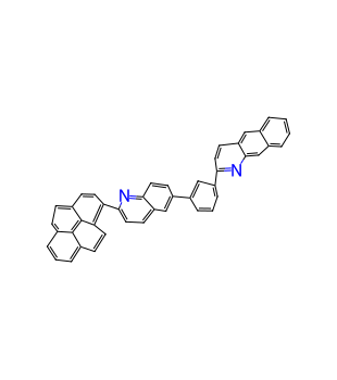 c1cc(-c2ccc3nc(-c4ccc5ccc6cccc7ccc4c5c67)ccc3c2)cc(-c2ccc3cc4ccccc4cc3n2)c1